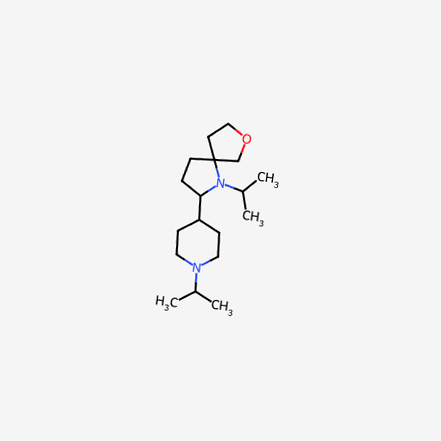 CC(C)N1CCC(C2CCC3(CCOC3)N2C(C)C)CC1